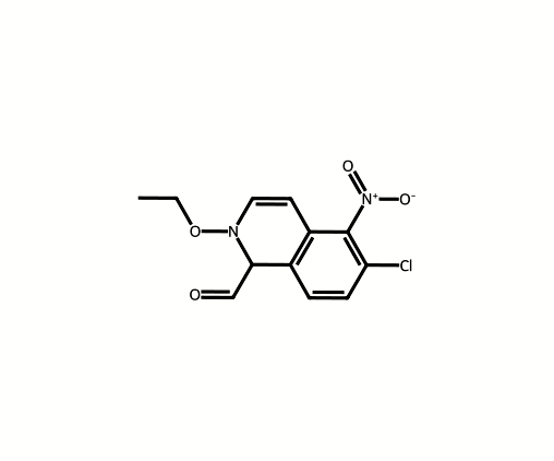 CCON1C=Cc2c(ccc(Cl)c2[N+](=O)[O-])C1C=O